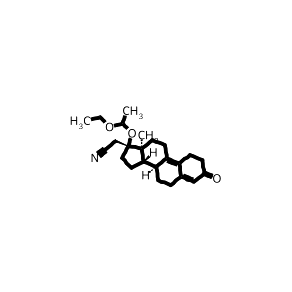 CCOC(C)O[C@@]1(CC#N)CC[C@H]2[C@@H]3CCC4=CC(=O)CCC4=C3CC[C@@]21C